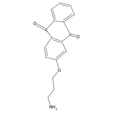 NCCCOc1ccc2c(c1)C(=O)c1ccccc1C2=O